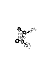 COCCN1C[C@H](NC(=O)Nc2cc(C(C)C)nn2-c2ccccc2)[C@@H](c2cccs2)C1